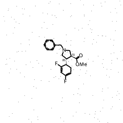 COC(=O)[C@@H]1CN(Cc2ccccc2)C[C@H]1C1CC=C(F)C=C1F